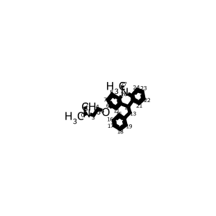 CN(C)CCOc1ccc2c(c1)C(Cc1ccccc1)c1ccccc1N2C